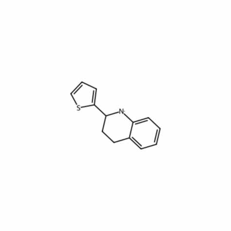 c1csc(C2CCc3ccccc3[N]2)c1